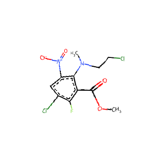 COC(=O)c1c(F)c(Cl)cc([N+](=O)[O-])c1N(C)CCCl